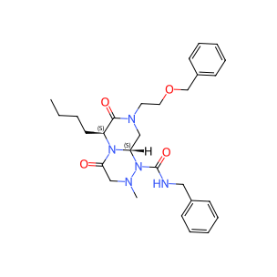 CCCC[C@H]1C(=O)N(CCOCc2ccccc2)C[C@H]2N1C(=O)CN(C)N2C(=O)NCc1ccccc1